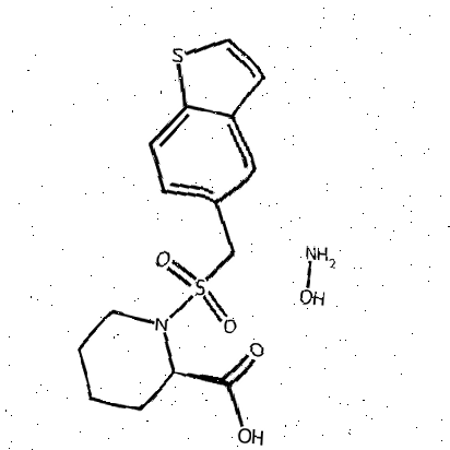 NO.O=C(O)[C@H]1CCCCN1S(=O)(=O)Cc1ccc2sccc2c1